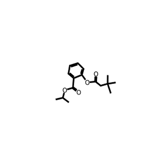 CC(C)OC(=O)c1ccccc1OC(=O)CC(C)(C)C